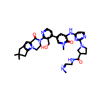 C/N=C\CNC(=O)C1CCN(c2nccc(Nc3cc(-c4ccnc(N5CCn6c(cc7c6CC(C)(C)C7)C5=O)c4CO)cn(C)c3=O)n2)C1